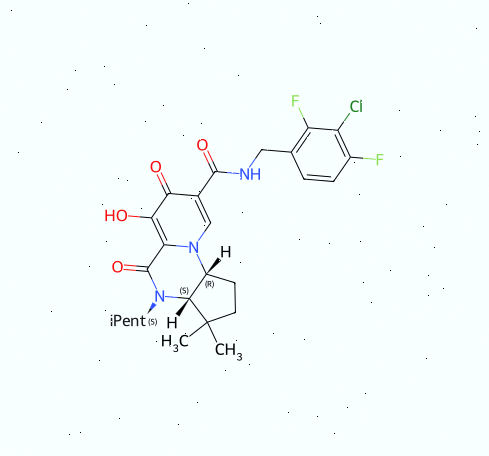 CCC[C@H](C)N1C(=O)c2c(O)c(=O)c(C(=O)NCc3ccc(F)c(Cl)c3F)cn2[C@@H]2CCC(C)(C)[C@@H]21